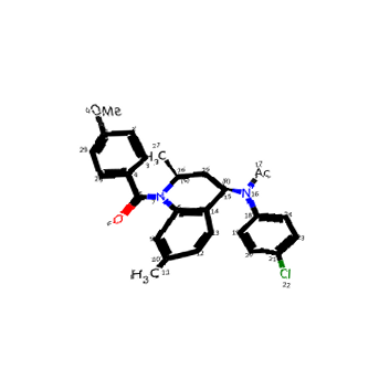 COc1ccc(C(=O)N2c3cc(C)ccc3[C@H](N(C(C)=O)c3ccc(Cl)cc3)C[C@@H]2C)cc1